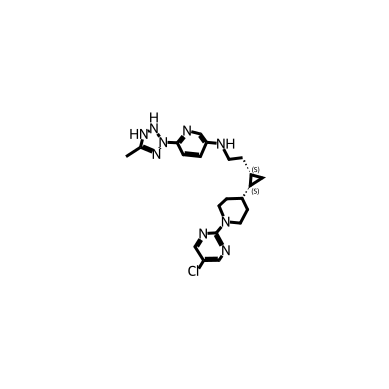 CC1=NN(c2ccc(NCC[C@@H]3C[C@@H]3C3CCN(c4ncc(Cl)cn4)CC3)cn2)NN1